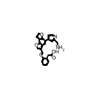 NCc1cc(-c2cc3c(COc4ccccc4CC(=O)O)coc3c3ccoc23)ccn1